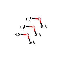 [SiH3]O[SiH3].[SiH3]O[SiH3].[SiH3]O[SiH3]